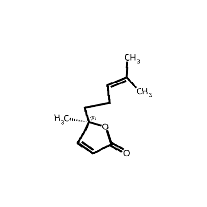 CC(C)=CCC[C@]1(C)C=CC(=O)O1